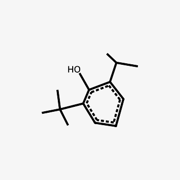 CC(C)c1cccc(C(C)(C)C)c1O